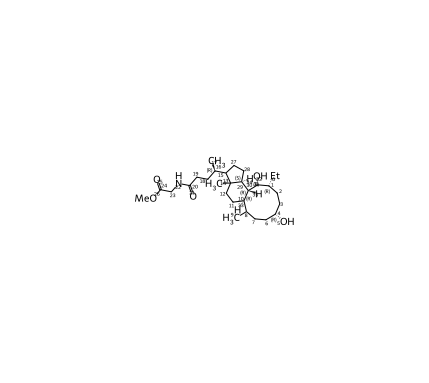 CC[C@@H]1CC[C@H](O)CCC(C)[C@H]2CCC3(C)C([C@H](C)CCC(=O)NCC(=O)OC)CC[C@H]3[C@@H]2[C@@H]1O